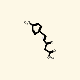 COC(=O)CC(=O)/C=C/c1ccc([N+](=O)[O-])cc1